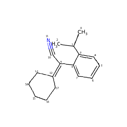 CC(C)c1ccccc1C(C#N)=C1CCCCC1